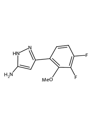 COc1c(-c2cc(N)[nH]n2)ccc(F)c1F